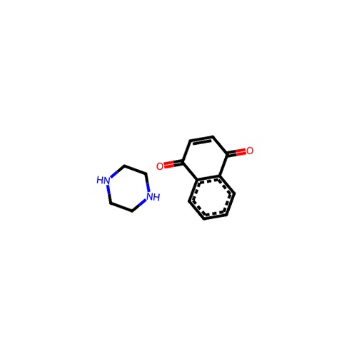 C1CNCCN1.O=C1C=CC(=O)c2ccccc21